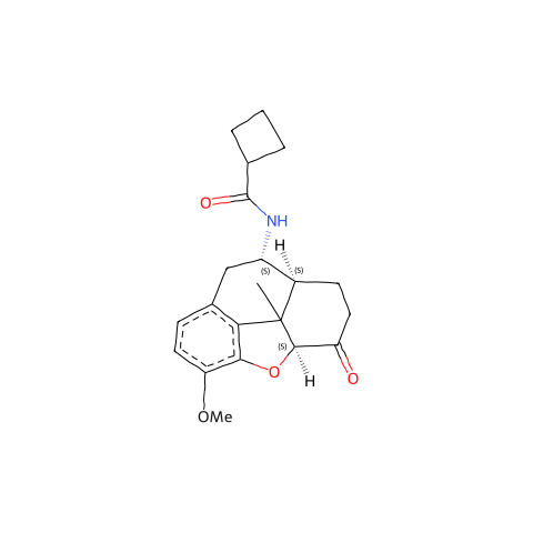 COc1ccc2c3c1O[C@@H]1C(=O)CC[C@H]([C@@H](NC(=O)C4CCC4)C2)C31C